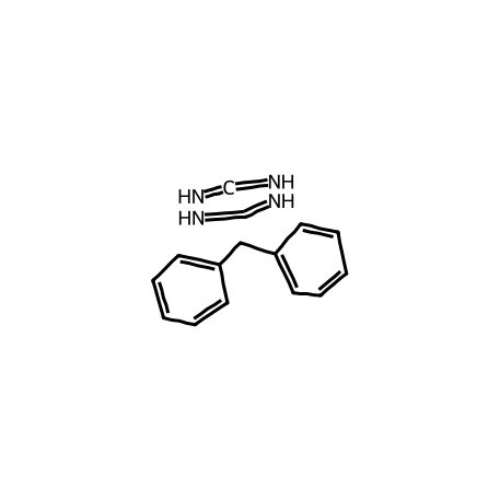 N=C=N.N=C=N.c1ccc(Cc2ccccc2)cc1